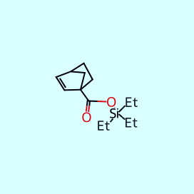 CC[Si](CC)(CC)OC(=O)C12C=CC(CC1)C2